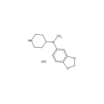 CN(c1ccc2c(c1)OCO2)C1CCNCC1.Cl